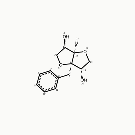 O[C@@H]1CO[C@@]2(Cc3ccccc3)[C@@H]1OC[C@@H]2O